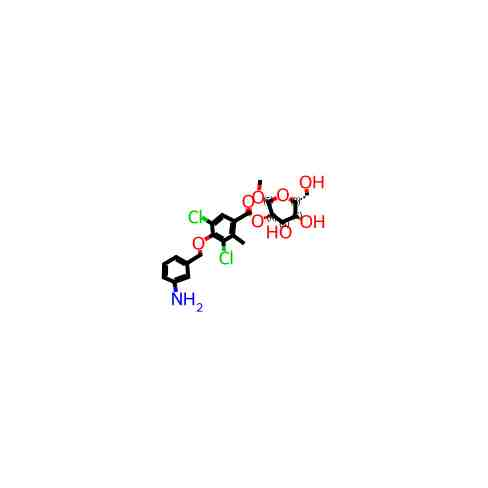 CO[C@H]1O[C@H](CO)[C@@H](O)[C@H](O)[C@H]1OC(=O)c1cc(Cl)c(OCc2cccc(N)c2)c(Cl)c1C